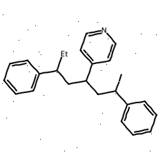 CCC(CC(CC(C)c1ccccc1)c1ccncc1)c1ccccc1